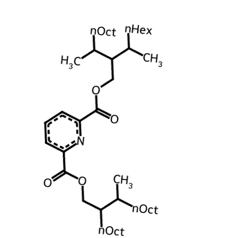 CCCCCCCCC(C)C(CCCCCCCC)COC(=O)c1cccc(C(=O)OCC(C(C)CCCCCC)C(C)CCCCCCCC)n1